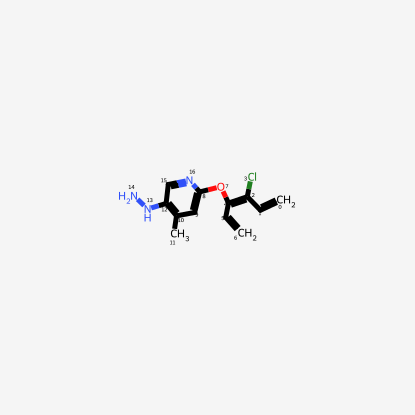 C=C/C(Cl)=C(\C=C)Oc1cc(C)c(NN)cn1